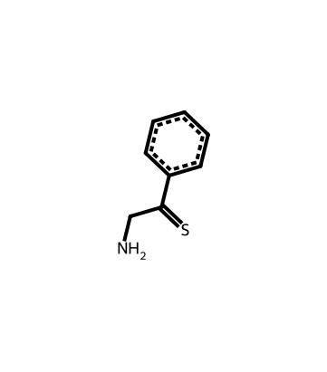 NCC(=S)c1ccccc1